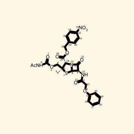 CC(=O)NC(=O)OC[C@]1(C)SC2[C@H](NC(=O)COc3ccccc3)C(=O)N2[C@H]1C(=O)OCc1ccc([N+](=O)[O-])cc1